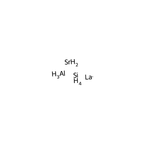 [AlH3].[La].[SiH4].[SrH2]